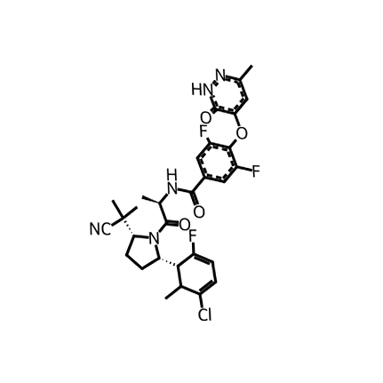 Cc1cc(Oc2c(F)cc(C(=O)N[C@H](C)C(=O)N3[C@H](C4C(F)=CC=C(Cl)C4C)CC[C@@H]3C(C)(C)C#N)cc2F)c(=O)[nH]n1